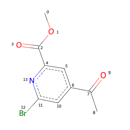 COC(=O)c1cc(C(C)=O)cc(Br)n1